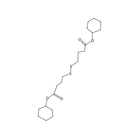 O=C(CCCSSCCCC(=O)OC1CCCCC1)OC1CCCCC1